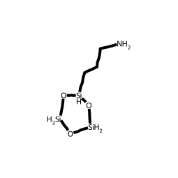 NCCC[SiH]1O[SiH2]O[SiH2]O1